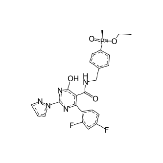 CCO[P@@](C)(=O)c1ccc(CNC(=O)c2c(O)nc(-n3cccn3)nc2-c2ccc(F)cc2F)cc1